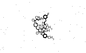 Cc1ccc(CNC(=O)C(CC2CCN(C(=O)C(C#N)=CC(C)C)CC2)NC(=O)[C@@H](NC(=O)CCc2cccc(F)c2)[C@@H](C)O)c(F)c1